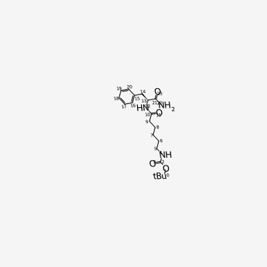 CC(C)(C)OC(=O)NCCCCCC(=O)N[C@@H](Cc1ccccc1)C(N)=O